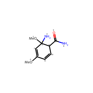 COC1=CC(N)(OC)C(C(N)=O)C=C1